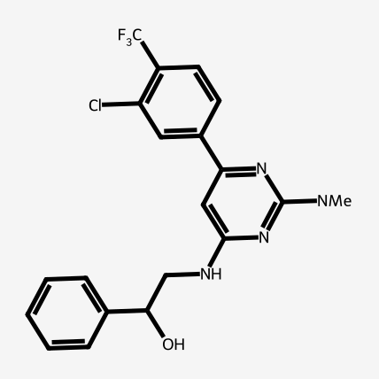 CNc1nc(NCC(O)c2ccccc2)cc(-c2ccc(C(F)(F)F)c(Cl)c2)n1